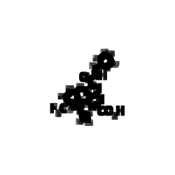 C[C@@H](Nc1nc(C(=O)O)nc2nc(C(=O)NCc3ccccc3)n(Cc3ccc(C(F)(F)F)cc3)c12)C1CCC1